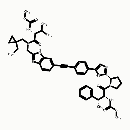 CCC1(CN(Cc2nc3ccc(C#Cc4ccc(-c5cnc([C@@H]6CCCN6C(=O)[C@H](NC(=O)OC)[C@H](C)c6ccccc6)[nH]5)cc4)cc3[nH]2)C(=O)[C@H](NC(=O)OC)C(C)C)CC1